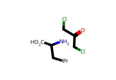 CC(C)CC(N)C(=O)O.O=C(CCl)CCl